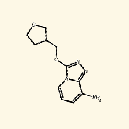 Nc1cccn2c(OCC3CCOC3)nnc12